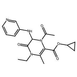 CCN1C(=O)C(Nc2cccnc2)N(C(C)=O)C(C(=O)OC2CC2)=C1C